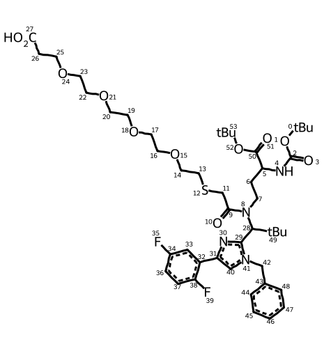 CC(C)(C)OC(=O)NC(CCN(C(=O)CSCCOCCOCCOCCOCCC(=O)O)C(c1nc(-c2cc(F)ccc2F)cn1Cc1ccccc1)C(C)(C)C)C(=O)OC(C)(C)C